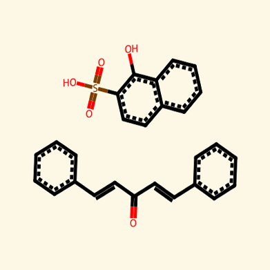 O=C(C=Cc1ccccc1)C=Cc1ccccc1.O=S(=O)(O)c1ccc2ccccc2c1O